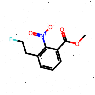 COC(=O)c1cccc(CCF)c1[N+](=O)[O-]